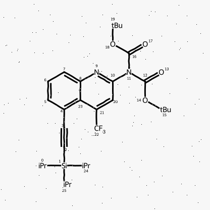 CC(C)[Si](C#Cc1cccc2nc(N(C(=O)OC(C)(C)C)C(=O)OC(C)(C)C)cc(C(F)(F)F)c12)(C(C)C)C(C)C